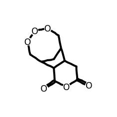 O=C1CC2C3COOOCC(C3)C2C(=O)O1